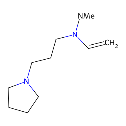 C=CN(CCCN1CCCC1)NC